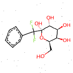 OC[C@H]1O[C@@](O)(C(F)(F)c2ccccc2)[C@H](O)[C@@H](O)[C@H]1O